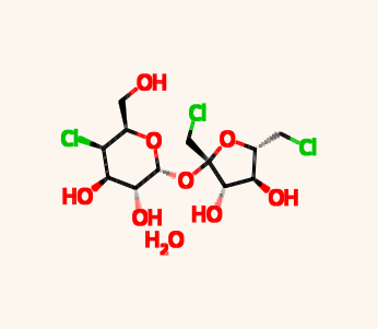 O.OC[C@H]1O[C@H](O[C@]2(CCl)O[C@H](CCl)[C@@H](O)[C@@H]2O)[C@H](O)[C@@H](O)[C@H]1Cl